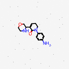 Nc1ccc(N2CCC=C(C3COCCN3)C2=O)cc1